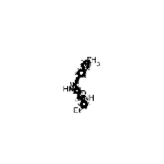 CCc1ccc2c(c1)[C@]1(C[C@H]1c1ccc3c(C#Cc4ccc(N5CCN(C)CC5)cc4)n[nH]c3c1)C(=O)N2